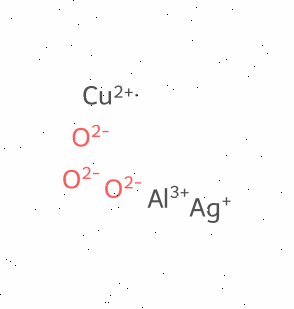 [Ag+].[Al+3].[Cu+2].[O-2].[O-2].[O-2]